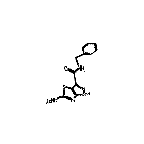 CC(=O)Nc1nc2[nH]nc(C(=O)NCc3ccccc3)c2s1